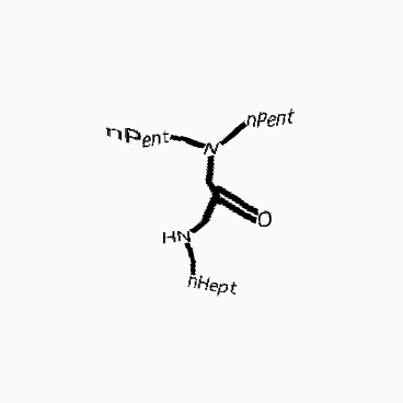 CCCCCCCNC(=O)N(CCCCC)CCCCC